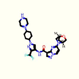 O=C(Nc1cn(C2CCC(N3CCNCC3)CC2)nc1C(F)F)c1cnn2ccc(N3C[C@H]4C[C@@H]3CO4)nc12